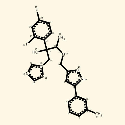 Cc1cccc(-c2cc(COC(C)C(O)(Cn3cncn3)c3ccc(F)cc3F)on2)c1